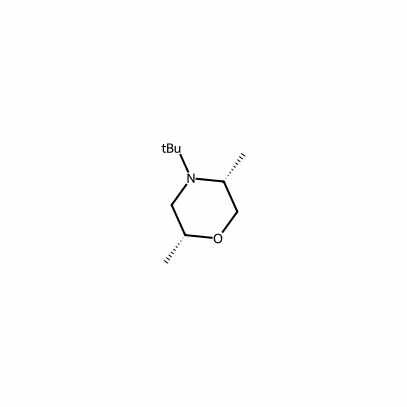 C[C@@H]1CN(C(C)(C)C)[C@H](C)CO1